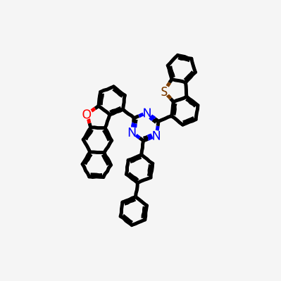 c1ccc(-c2ccc(-c3nc(-c4cccc5c4sc4ccccc45)nc(-c4cccc5oc6cc7ccccc7cc6c45)n3)cc2)cc1